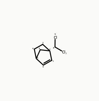 C1=CC2CCC1C2.ClCCl